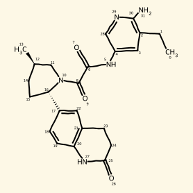 CCc1cc(NC(=O)C(=O)N2C[C@H](C)CC[C@H]2c2ccc3c(c2)CCC(=O)N3)cnc1N